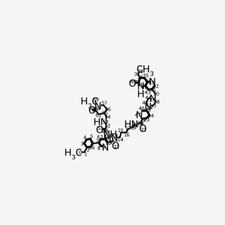 CCc1cccc(-c2cnc(C(=O)NCCCCCNC(=O)c3ccc(N4CCN(Cc5cnc6cc(CC)c(=O)[nH]c6c5)CC4)cn3)c(NC(=O)CNCC3CCN(C)C(=O)C3)c2)c1